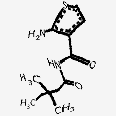 CC(C)(C)C(=O)NC(=O)c1ccsc1N